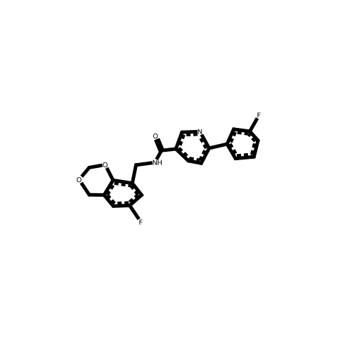 O=C(NCc1cc(F)cc2c1OCOC2)c1ccc(-c2cccc(F)c2)nc1